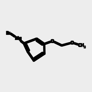 COCOc1ccc[c]([Mg][Br])c1